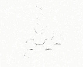 CC(C)CCn1cc(-c2ccc(C(F)(F)F)nc2-c2ccc3cccnc3c2)cn1